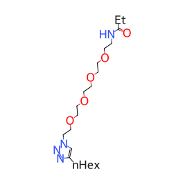 CCCCCCc1cn(CCOCCOCCOCCOCCNC(=O)CC)nn1